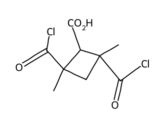 CC1(C(=O)Cl)CC(C)(C(=O)Cl)C1C(=O)O